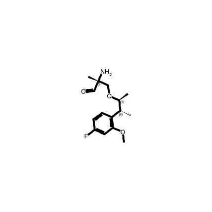 COc1cc(F)ccc1[C@@H](C)[C@H](C)OC[C@@](C)(N)C=O